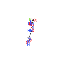 C#Cc1c(F)ccc2cc(OCOC)cc(-c3ncc4c(N5CC6CCC(C5)N6C(=O)OC(C)(C)C)nc(OC[C@@]56CCCN5[C@H](COC(=O)NCCCCCCCCCc5cccc7c5n(C)c(=O)n7C5CCC(=O)NC5=O)CC6)nc4c3F)c12